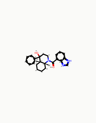 O=C(c1cccc2[nH]cnc12)N1CCC(O)(c2ccccc2)[C@H]2CCCC[C@H]21